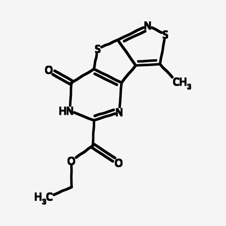 CCOC(=O)c1nc2c(sc3nsc(C)c32)c(=O)[nH]1